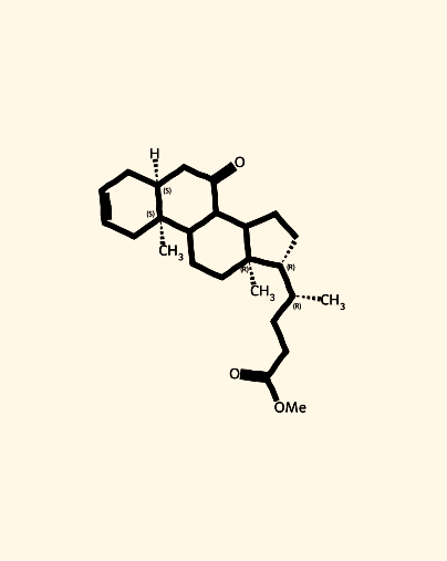 COC(=O)CC[C@@H](C)[C@H]1CCC2C3C(=O)C[C@@H]4CC=CC[C@]4(C)C3CC[C@@]21C